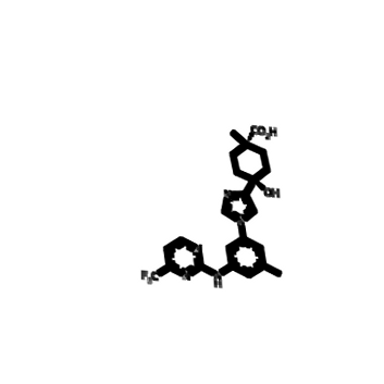 Cc1cc(Nc2nccc(C(F)(F)F)n2)cc(-n2cnc([C@]3(O)CC[C@](C)(C(=O)O)CC3)c2)c1